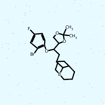 CC1(C)OCC(C(CCC2B3CCCC2CCC3)Oc2ccc(F)cc2Br)O1